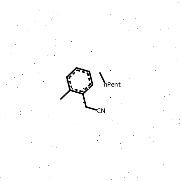 CCCCCC.Cc1ccccc1CC#N